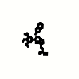 CCc1c(OC)cc([C@@H](O)[C@H](CC2Cc3ccccc3C2)Cn2ccc(CCC(=O)O)c2)cc1OC